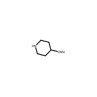 COC1[CH]CNCC1